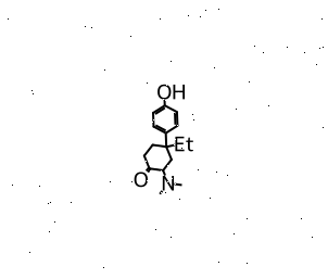 CCC1(c2ccc(O)cc2)CCC(=O)C(N(C)C)C1